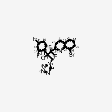 OC(Cn1cnnn1)(c1ccc(F)cc1F)C(F)(F)c1ccc2cccc(Br)c2n1